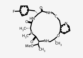 COC(C)[C@@H]1NC[C@@H](C)Oc2cccnc2CCCNC(=O)[C@@H](Cc2ccc(F)cc2)NC(=O)[C@@H](C)N(C)C1=O